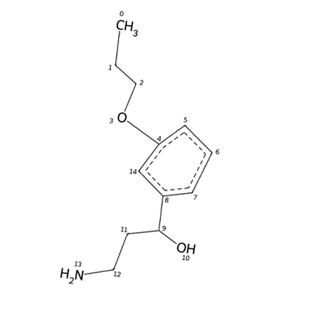 CCCOc1cccc(C(O)CCN)c1